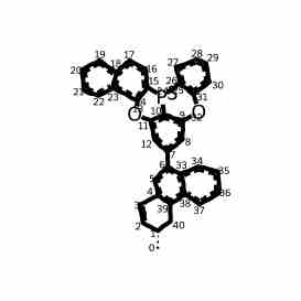 C[C@@H]1C=Cc2cc(-c3cc4c5c(c3)Oc3c(ccc6ccccc36)P5(=S)c3ccccc3O4)c3ccccc3c2C1